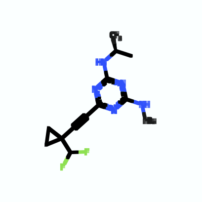 CCCCNc1nc(C#CC2(C(F)F)CC2)nc(N[C@H](C)C(F)(F)F)n1